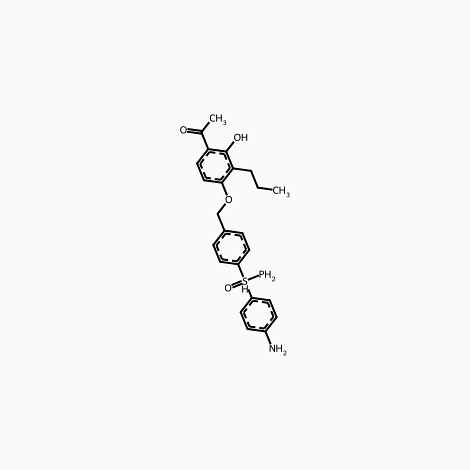 CCCc1c(OCc2ccc([SH](=O)(P)c3ccc(N)cc3)cc2)ccc(C(C)=O)c1O